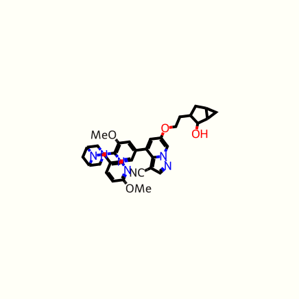 COc1ccc(CN2C3CC2CN(c2ncc(-c4cc(OCCC5CC6CC6C5O)cn5ncc(C#N)c45)cc2OC)C3)cn1